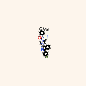 COc1ccc(NC(=O)N2CCN(c3nnc(-c4ccc(F)cc4)c4ccccc34)C[C@@H]2C)cc1